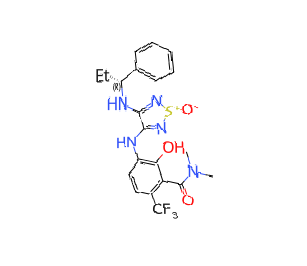 CC[C@@H](Nc1n[s+]([O-])nc1Nc1ccc(C(F)(F)F)c(C(=O)N(C)C)c1O)c1ccccc1